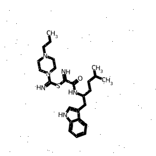 CCCN1CCN(C(=N)SC(=N)C(=O)NC(CCC(C)C)Cc2c[nH]c3ccccc23)CC1